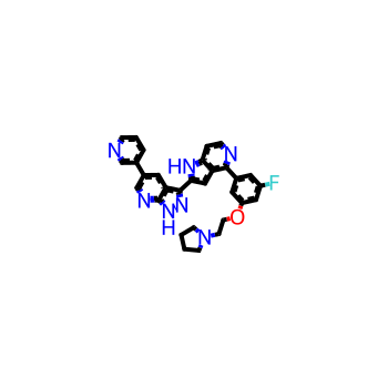 Fc1cc(OCCN2CCCC2)cc(-c2nccc3[nH]c(-c4n[nH]c5ncc(-c6cccnc6)cc45)cc23)c1